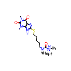 CCCCCCCN(CCCCCSc1nc2c(=O)n(C)c(=O)n(C)c2[nH]1)C(=O)NC(C)C